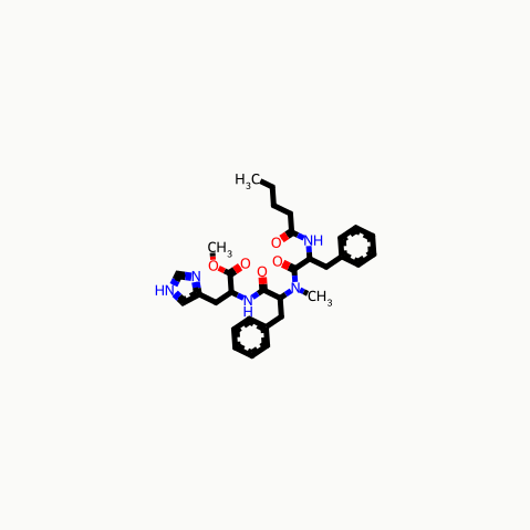 CCCCC(=O)NC(Cc1ccccc1)C(=O)N(C)C(Cc1ccccc1)C(=O)NC(Cc1c[nH]cn1)C(=O)OC